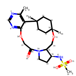 Cc1ncnc2c1[C@H]1CC[C@H](CC1)OCC1[C@@H](NS(C)(=O)=O)CCN1C(=O)CO2